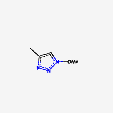 COn1cc(C)nn1